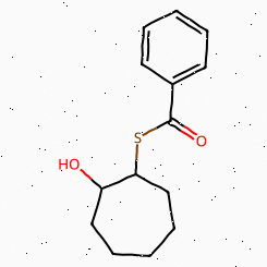 O=C(SC1CCCCCC1O)c1ccccc1